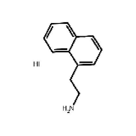 I.NCCc1cccc2ccccc12